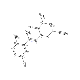 C/C(=N\N(CCC#N)C(=O)C(C)C)c1cc(Cl)ccc1N